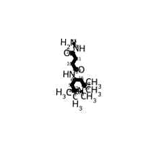 CN1C(C)(C)CC(NC(=O)CCC(=O)NN)CC1(C)C